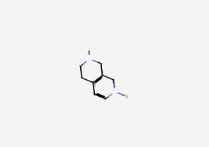 CC(C)N1C=CC2=C(C1)CN(C(C)(C)C)CC2